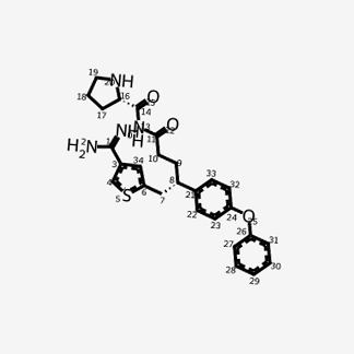 N=C(N)c1csc(C[C@H](CCC(=O)NC(=O)[C@@H]2CCCN2)c2ccc(Oc3ccccc3)cc2)c1